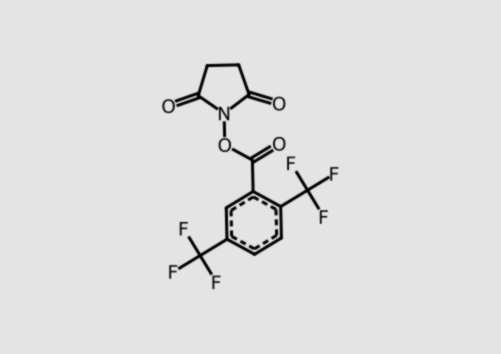 O=C(ON1C(=O)CCC1=O)c1cc(C(F)(F)F)ccc1C(F)(F)F